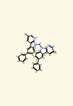 Cc1cnc2c(c1)c1cc(-c3ccccc3)ccc1n2Cn1c2ccc(-c3ccccc3)cc2c2cc(C)cnc21